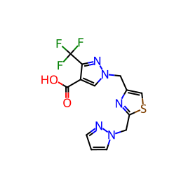 O=C(O)c1cn(Cc2csc(Cn3cccn3)n2)nc1C(F)(F)F